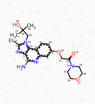 CCc1nc2c(N)nc3cc(OCC(=O)N4CCOCC4)ccc3c2n1CC(C)(C)O